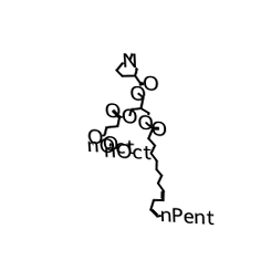 CCCCC/C=C\C/C=C\CCCCCCCC(=O)OCC(COC(=O)CCC(OCCCCCCCC)OCCCCCCCC)COC(=O)C1CCCN(C)C1